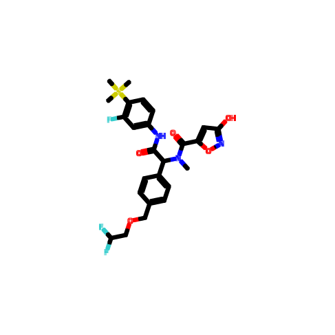 CN(C(=O)c1cc(O)no1)C(C(=O)Nc1ccc(S(C)(C)C)c(F)c1)c1ccc(COCC(F)F)cc1